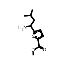 COC(=O)c1ccc(C(N)CC(C)C)s1